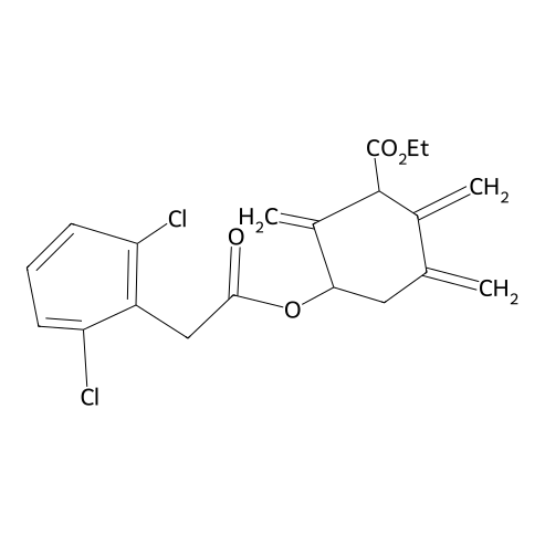 C=C1CC(OC(=O)Cc2c(Cl)cccc2Cl)C(=C)C(C(=O)OCC)C1=C